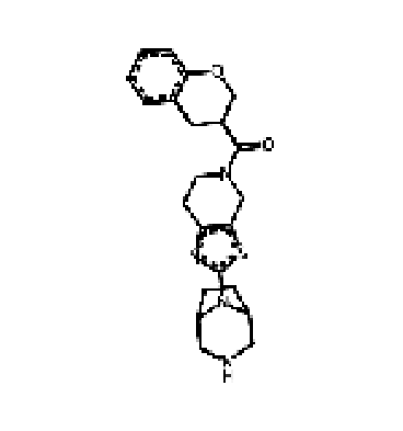 O=C(C1COc2ccccc2C1)N1CCc2nc(N3C4CCC3CNC4)sc2C1